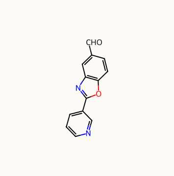 O=Cc1ccc2oc(-c3cccnc3)nc2c1